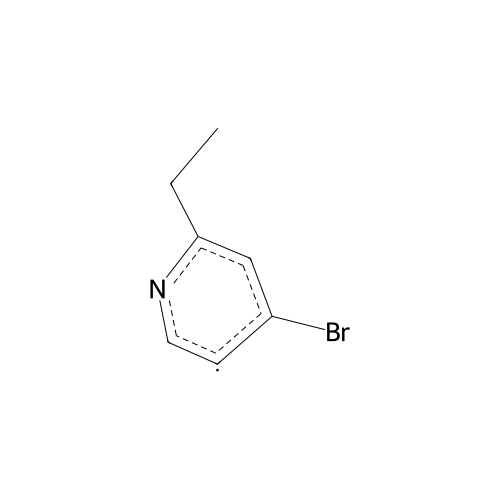 CCc1cc(Br)[c]cn1